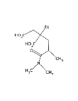 CCC(CC(=O)O)(CC(C)C(=O)N(C)C)C(=O)O